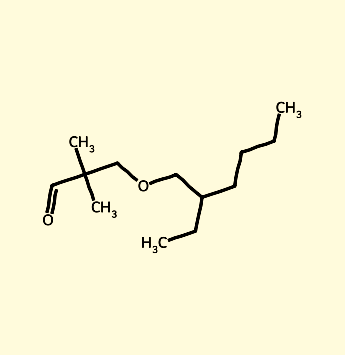 CCCCC(CC)COCC(C)(C)C=O